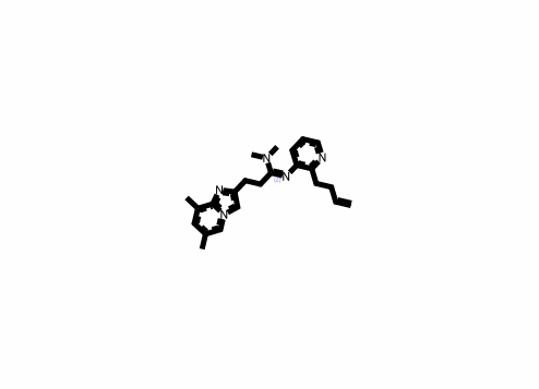 C=CCCc1ncccc1/N=C(/CCc1cn2cc(C)cc(C)c2n1)N(C)C